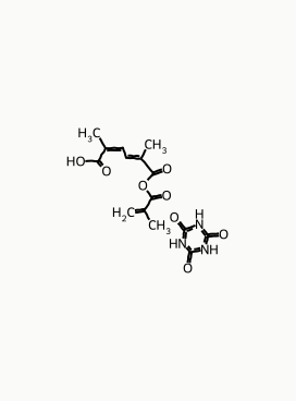 C=C(C)C(=O)OC(=O)C(C)=CC=C(C)C(=O)O.O=c1[nH]c(=O)[nH]c(=O)[nH]1